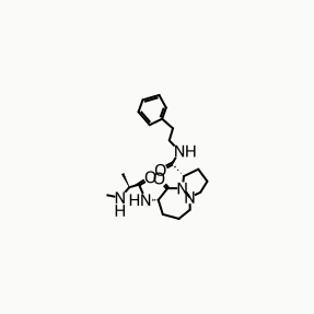 CN[C@@H](C)C(=O)N[C@H]1CCCN2CCC[C@@H](C(=O)NCCc3ccccc3)N2C1=O